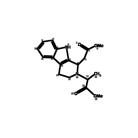 COC(=O)CC1c2[nH]c3ccccc3c2CCN1C(C)C(=O)OC